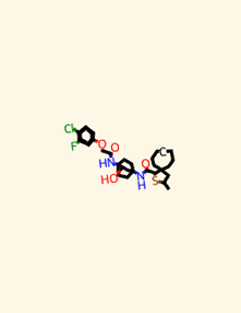 CC1CC2(CCCCCCC2)C(C(=O)NC23CCC(NC(=O)COc4ccc(Cl)c(F)c4)(CC2)C(O)C3)S1